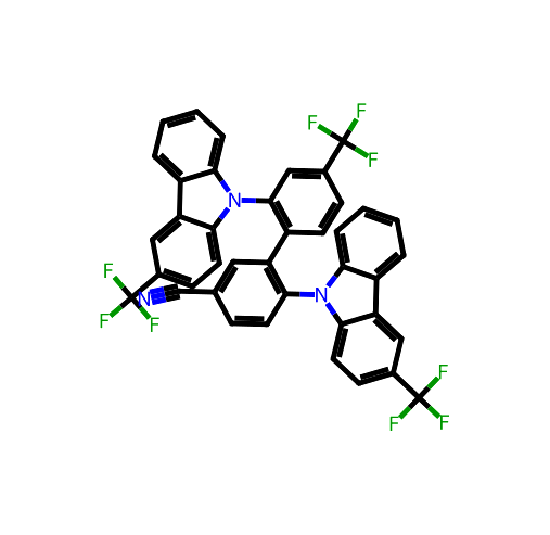 N#Cc1ccc(-n2c3ccccc3c3cc(C(F)(F)F)ccc32)c(-c2ccc(C(F)(F)F)cc2-n2c3ccccc3c3cc(C(F)(F)F)ccc32)c1